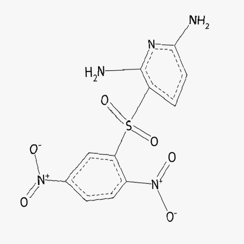 Nc1ccc(S(=O)(=O)c2cc([N+](=O)[O-])ccc2[N+](=O)[O-])c(N)n1